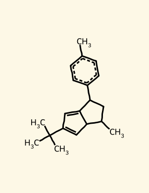 Cc1ccc(C2CC(C)C3C=C(C(C)(C)C)C=C23)cc1